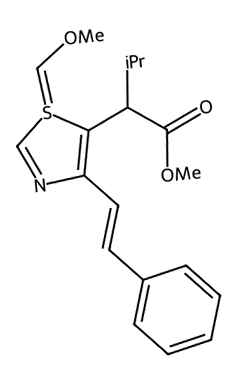 COC=S1C=NC(C=Cc2ccccc2)=C1C(C(=O)OC)C(C)C